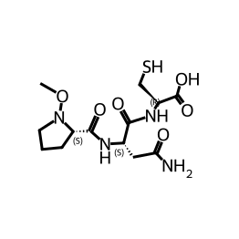 CON1CCC[C@H]1C(=O)N[C@@H](CC(N)=O)C(=O)N[C@@H](CS)C(=O)O